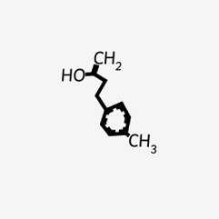 C=C(O)CCc1ccc(C)cc1